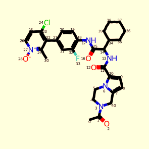 CC(=O)N1CCn2c(ccc2C(=O)NC(C(=O)Nc2ccc(-c3c(Cl)cc[n+]([O-])c3C)cc2F)C2CCCCC2)C1